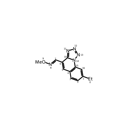 CCc1ccc2cc(C=NOC)c3nnnn3c2c1